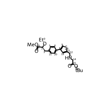 CCO[C@@H](Cc1ccc(-c2csc(CNCC(=O)OC(C)(C)C)c2)cc1)C(=O)OC